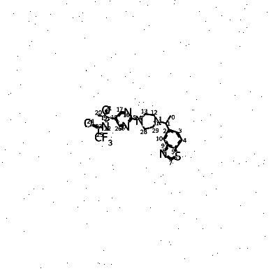 CC(c1ccc2scnc2c1)N1CCN(c2ncc(S(C)(=O)=NC(=O)C(F)(F)F)cn2)CC1